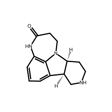 O=C1CCN2c3c(cccc3[C@@H]3CNCC[C@@H]32)N1